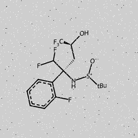 CC(C)(C)[S+]([O-])N[C@@](C[C@H](O)C(F)(F)F)(c1ccccc1F)C(F)F